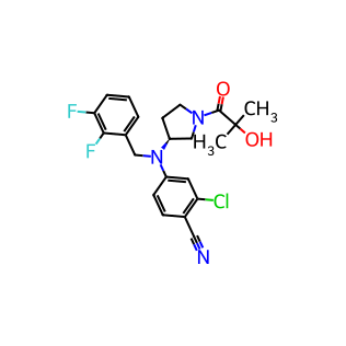 CC(C)(O)C(=O)N1CC[C@H](N(Cc2cccc(F)c2F)c2ccc(C#N)c(Cl)c2)C1